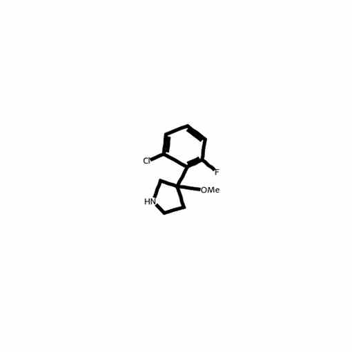 COC1(c2c(F)cccc2Cl)CCNC1